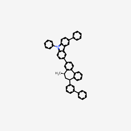 C[C@@H]1CC(c2cccc(-c3ccccc3)c2)c2ccccc2-c2ccc(-c3ccc4c(c3)c3cc(-c5ccccc5)ccc3n4-c3ccccc3)cc21